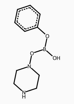 OB(Oc1ccccc1)ON1CCNCC1